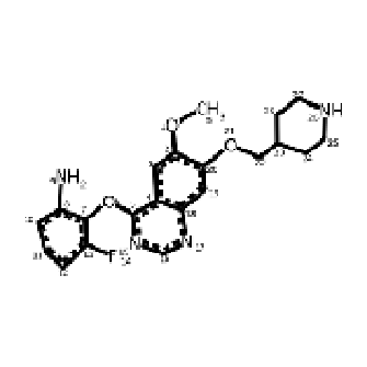 COc1cc2c(Oc3c(N)cccc3F)ncnc2cc1OCC1CCNCC1